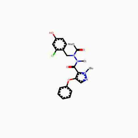 CCN(C(=O)c1c(Oc2ccccc2)cnn1C(C)(C)C)N(Cc1ccc(O)cc1Cl)C(=O)OC